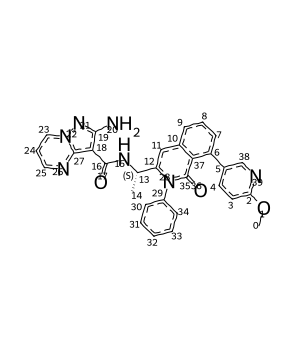 COc1ccc(-c2cccc3cc([C@H](C)NC(=O)c4c(N)nn5cccnc45)n(-c4ccccc4)c(=O)c23)cn1